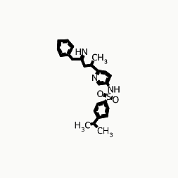 CC(C)c1ccc(S(=O)(=O)Nc2ccc(C(C)CC(=N)Cc3ccccc3)nc2)cc1